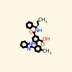 CCC[C@@H](NC(=O)c1ccc(-c2cc(C)ccc2-c2nc3ccccc3[nH]2)c(C(=O)O)c1)c1ccccc1